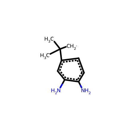 [CH2]C(C)(C)c1ccc(N)c(N)c1